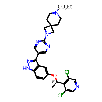 CCOC(=O)N1CCC2(CC1)CN(c1ncc(-c3n[nH]c4ccc(O[C@H](C)c5c(Cl)cncc5Cl)cc34)cn1)C2